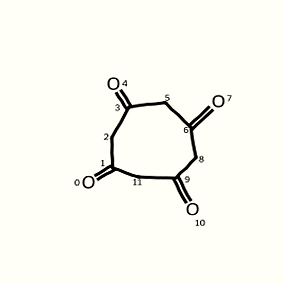 O=C1CC(=O)CC(=O)CC(=O)C1